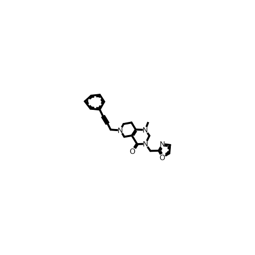 CN1CN(Cc2ncco2)C(=O)C2=C1CCN(CC#Cc1ccccc1)C2